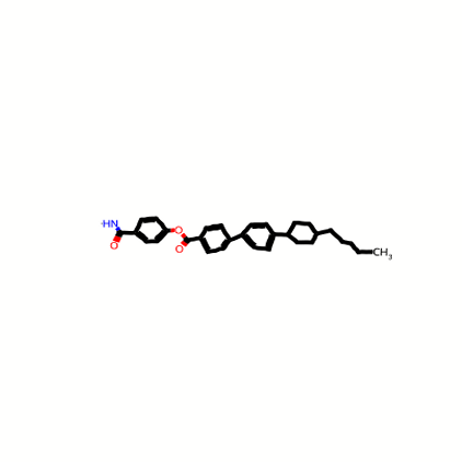 CCCCCC1CCC(c2ccc(-c3ccc(C(=O)Oc4ccc(C([NH])=O)cc4)cc3)cc2)CC1